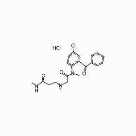 CNC(=O)CCN(C)CC(=O)N(C)c1ccc(Cl)cc1C(=O)c1ccccc1.Cl